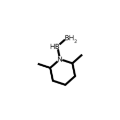 BBN1C(C)CCCC1C